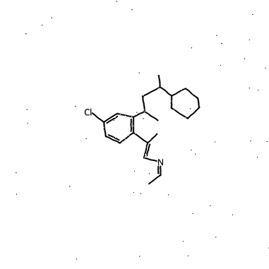 C/C=N\C=C(/C)c1ccc(Cl)cc1C(C)CC(C)C1CCCCC1